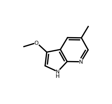 COc1c[nH]c2ncc(C)cc12